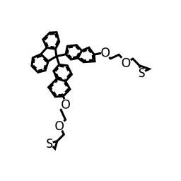 c1ccc2c(c1)-c1ccccc1C2(c1ccc2cc(OCCOCC3CS3)ccc2c1)c1ccc2cc(OCCOCC3CS3)ccc2c1